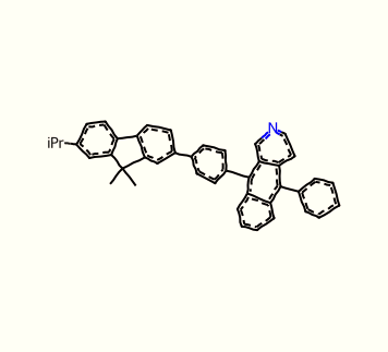 CC(C)c1ccc2c(c1)C(C)(C)c1cc(-c3ccc(-c4c5ccccc5c(-c5ccccc5)c5ccncc45)cc3)ccc1-2